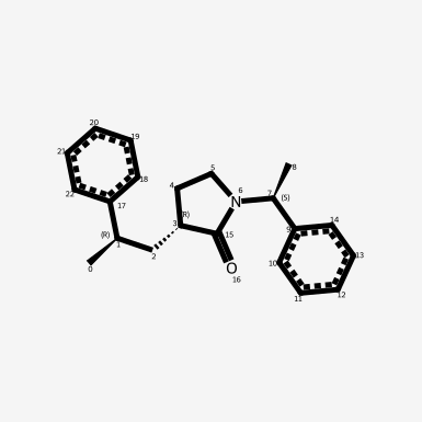 C[C@H](C[C@@H]1CCN([C@@H](C)c2ccccc2)C1=O)c1ccccc1